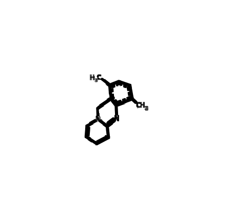 Cc1ccc(C)c2c1CN1C=CC=CC1=N2